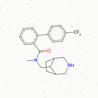 CN(CC1C2CCC1CNC2)C(=O)c1ccccc1-c1ccc(C(F)(F)F)cc1